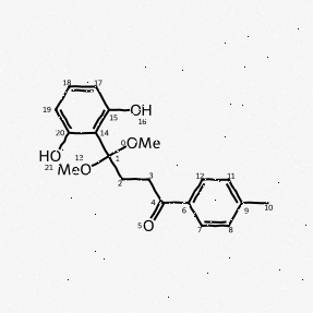 COC(CCC(=O)c1ccc(C)cc1)(OC)c1c(O)cccc1O